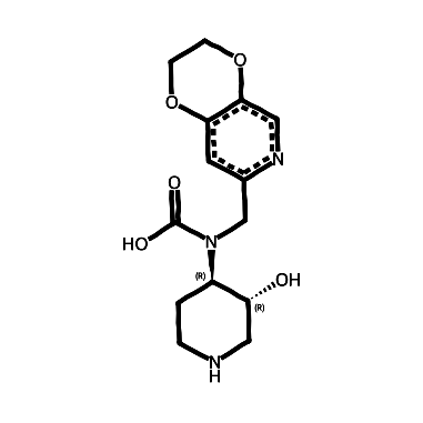 O=C(O)N(Cc1cc2c(cn1)OCCO2)[C@@H]1CCNC[C@H]1O